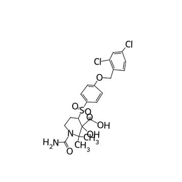 CC1(C)N(C(N)=O)CCC(S(=O)(=O)c2ccc(OCc3ccc(Cl)cc3Cl)cc2)C1(O)C(=O)O